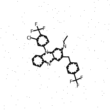 CCN=c1cc2n(-c3ccc(C(F)(F)F)c(Cl)c3)c3ccccc3nc-2cc1Cc1ccc(C(F)(F)F)cc1